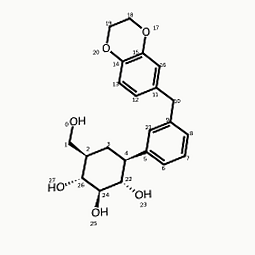 OC[C@H]1C[C@@H](c2cccc(Cc3ccc4c(c3)OCCO4)c2)[C@H](O)[C@@H](O)[C@@H]1O